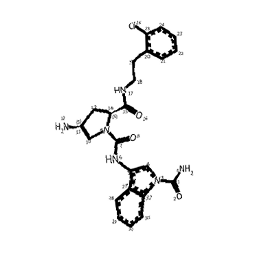 NC(=O)n1cc(NC(=O)N2C[C@@H](N)C[C@H]2C(=O)NCCc2ccccc2Cl)c2ccccc21